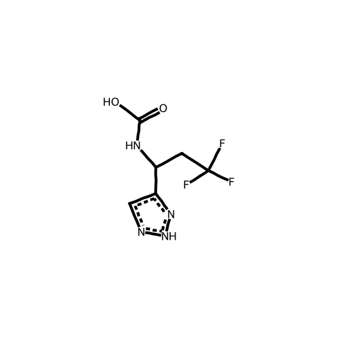 O=C(O)NC(CC(F)(F)F)c1cn[nH]n1